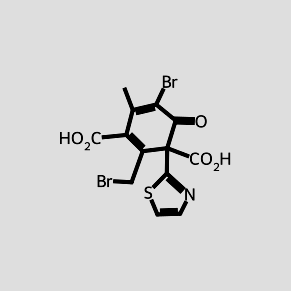 CC1=C(Br)C(=O)C(C(=O)O)(c2nccs2)C(CBr)=C1C(=O)O